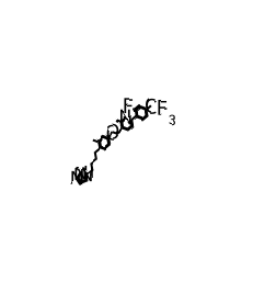 Cc1cc(OCc2ccc(-c3ccc(C(F)(F)F)cc3F)nc2C)ccc1CCCCn1ccnn1